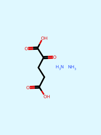 N.N.O=C(O)CCC(=O)C(=O)O